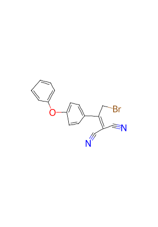 N#CC(C#N)=C(CBr)c1ccc(Oc2ccccc2)cc1